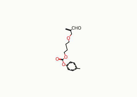 C=C(C=O)COCCCCOC(=O)Oc1ccc(C)cc1